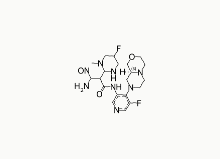 CN1CC(F)CNC1C(C(=O)Nc1cncc(F)c1N1CCN2CCOC[C@@H]2C1)C(N)N=O